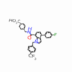 O=C(O)c1ccc(CNC(=O)c2ccc(-c3ccc(F)cc3)c3ccn(Cc4ccc(C(F)(F)F)cc4)c23)cc1